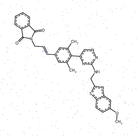 COc1ccc2sc(CNc3nncc(-c4c(C)cc(/C=C/CN5C(=O)c6ccccc6C5=O)cc4C)n3)nc2c1